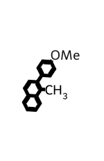 COc1ccc(-c2ccc3ccccc3c2C)cc1